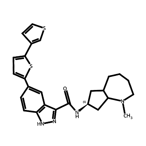 CN1CCCCC2C[C@H](NC(=O)c3n[nH]c4ccc(-c5ccc(-c6ccsc6)s5)cc34)CC21